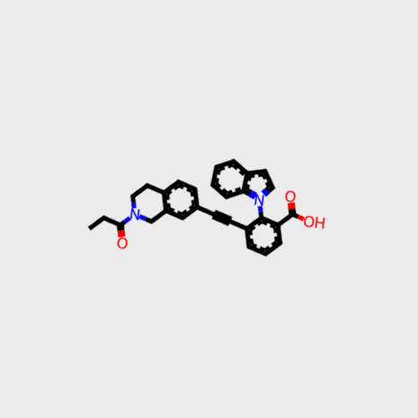 CCC(=O)N1CCc2ccc(C#Cc3cccc(C(=O)O)c3-n3ccc4ccccc43)cc2C1